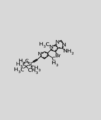 Cc1cc(C#C[Si](C)(C)C(C)(C)C)ncc1-c1c(Br)c2c(N)ncnc2n1C